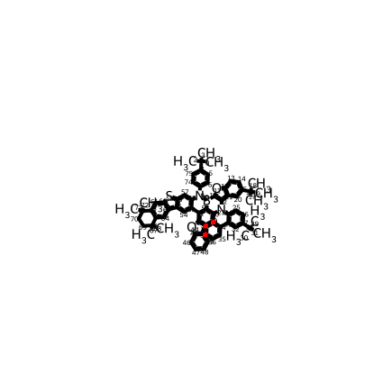 CC(C)(C)c1ccc(N2B3c4oc5ccc(C(C)(C)C)cc5c4N(c4ccc(C(C)(C)C)cc4-c4ccccc4)c4cc5c(oc6ccccc65)c(c43)-c3cc4c(cc32)sc2cc3c(cc24)C(C)(C)CCC3(C)C)cc1